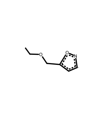 CCOCc1c[c]no1